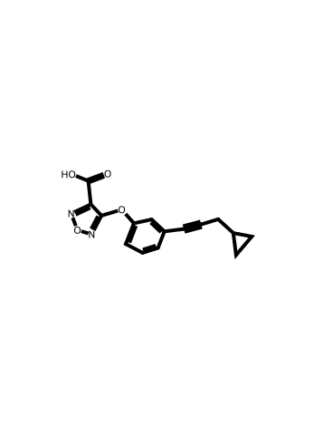 O=C(O)c1nonc1Oc1cccc(C#CCC2CC2)c1